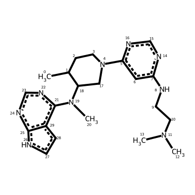 CC1CCN(c2cc(NCCN(C)C)ncn2)CC1N(C)c1ncnc2[nH]ccc12